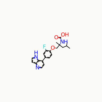 CC(C)CC(C)(COc1ccc(-c2ccnc3cc[nH]c23)cc1F)NC(=O)O